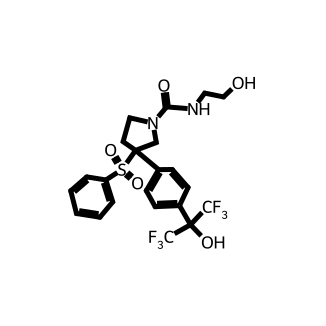 O=C(NCCO)N1CCC(c2ccc(C(O)(C(F)(F)F)C(F)(F)F)cc2)(S(=O)(=O)c2ccccc2)C1